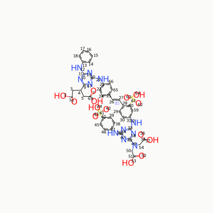 O=C(O)CC(CC(=O)O)c1nc(Nc2ccccc2)nc(Nc2ccc(/C=C/c3ccc(Nc4nc(Nc5ccc(S(=O)(=O)O)cc5)nc(N(CC(=O)O)CC(=O)O)n4)cc3S(=O)(=O)O)cc2)n1